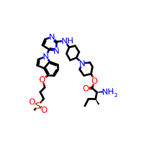 CC[C@H](C)[C@H](N)C(=O)OC1CCN(C2CCC(Nc3nccc(-n4ccc5c(OCCCS(C)(=O)=O)cccc54)n3)CC2)CC1